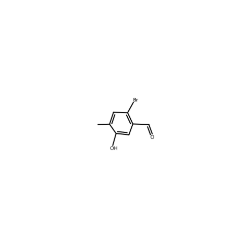 Cc1cc(Br)c(C=O)cc1O